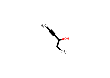 [CH2]CC(O)C#CC